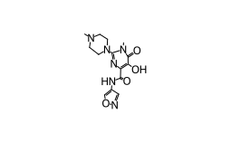 CN1CCN(c2nc(C(=O)Nc3cnoc3)c(O)c(=O)n2C)CC1